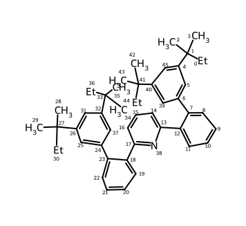 CCC(C)(C)c1cc(-c2ccccc2-c2cccc(-c3ccccc3-c3cc(C(C)(C)CC)cc(C(C)(C)CC)c3)n2)cc(C(C)(C)CC)c1